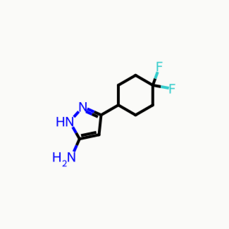 Nc1cc(C2CCC(F)(F)CC2)n[nH]1